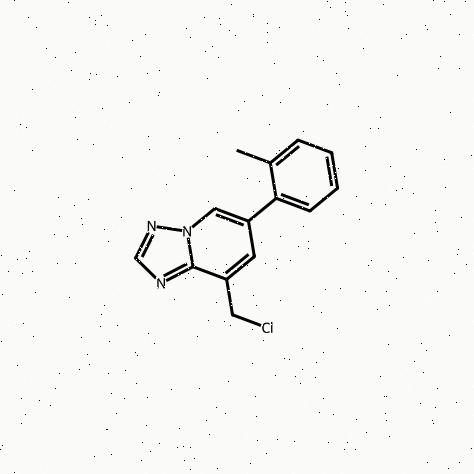 Cc1ccccc1-c1cc(CCl)c2ncnn2c1